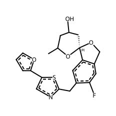 CC1CC(O)C[C@@]2(OCc3cc(F)c(Cc4ncc(-c5ccco5)s4)cc32)O1